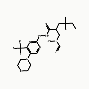 CCC(C)(C)CC(CN(O)C=O)C(=O)NNc1ncc(N2CCOCC2)c(C(F)(F)F)n1